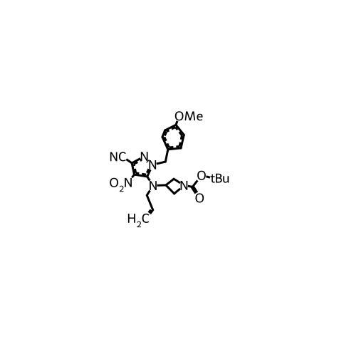 C=CCN(c1c([N+](=O)[O-])c(C#N)nn1Cc1ccc(OC)cc1)C1CN(C(=O)OC(C)(C)C)C1